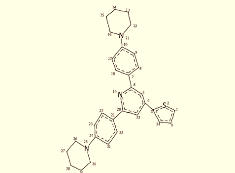 c1csc(-c2cc(-c3ccc(N4CCCCC4)cc3)nc(-c3ccc(N4CCCCC4)cc3)c2)c1